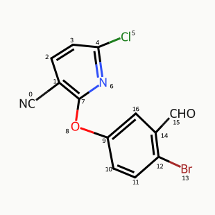 N#Cc1ccc(Cl)nc1Oc1ccc(Br)c(C=O)c1